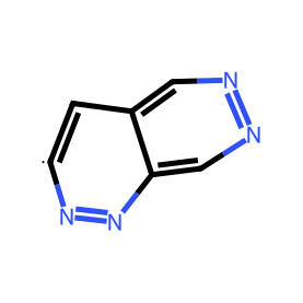 [c]1cc2cnncc2nn1